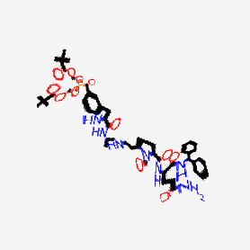 CC(CNCCC1CCC(C(=O)NC(CCC(N)=O)C(=O)NC(c2ccccc2)c2ccccc2)N1C=O)NC(=O)c1cc2cc(C(=O)P(OCOC(=O)C(C)(C)C)OCOC(=O)C(C)(C)C)ccc2[nH]1